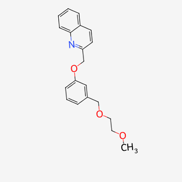 COCCOCc1cccc(OCc2ccc3ccccc3n2)c1